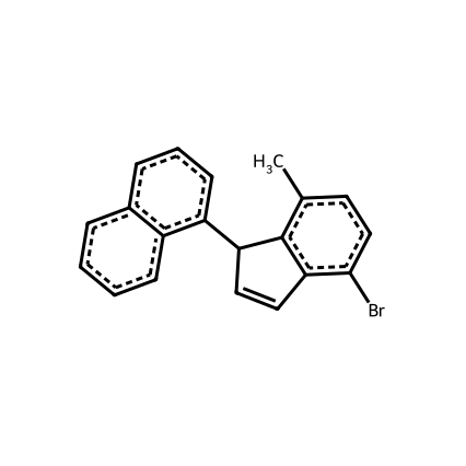 Cc1ccc(Br)c2c1C(c1cccc3ccccc13)C=C2